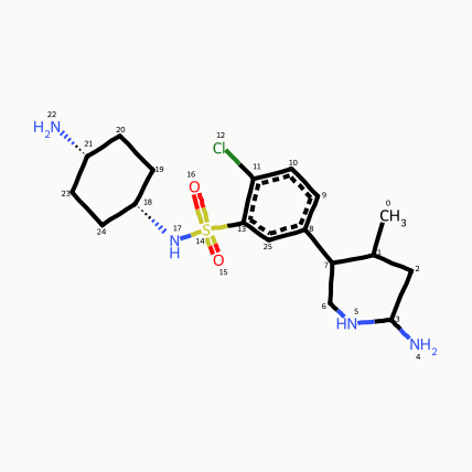 CC1CC(N)NCC1c1ccc(Cl)c(S(=O)(=O)N[C@H]2CC[C@@H](N)CC2)c1